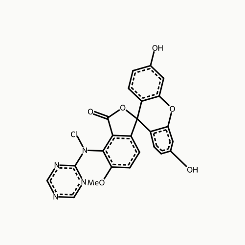 COc1ccc2c(c1N(Cl)c1ncncn1)C(=O)OC21c2ccc(O)cc2Oc2cc(O)ccc21